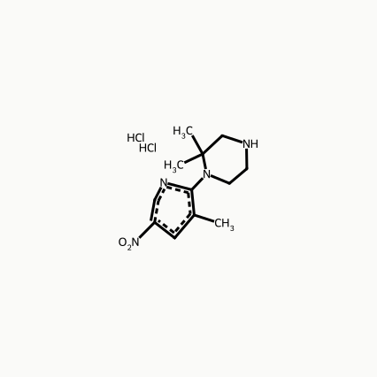 Cc1cc([N+](=O)[O-])cnc1N1CCNCC1(C)C.Cl.Cl